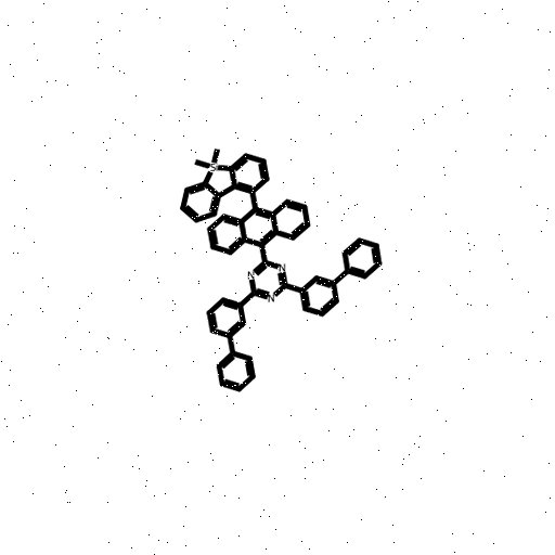 C[Si]1(C)c2ccccc2-c2c(-c3c4ccccc4c(-c4nc(-c5cccc(-c6ccccc6)c5)nc(-c5cccc(-c6ccccc6)c5)n4)c4ccccc34)cccc21